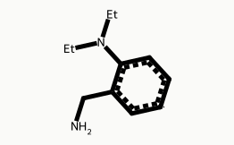 CCN(CC)c1cc[c]cc1CN